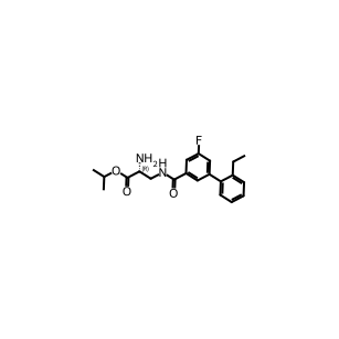 CCc1ccccc1-c1cc(F)cc(C(=O)NC[C@@H](N)C(=O)OC(C)C)c1